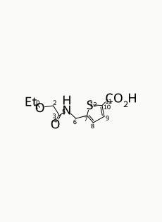 CCOCC(=O)NCc1ccc(C(=O)O)s1